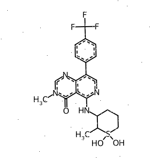 CC1C(Nc2ncc(-c3ccc(C(F)(F)F)cc3)c3ncn(C)c(=O)c23)CCCS1(O)O